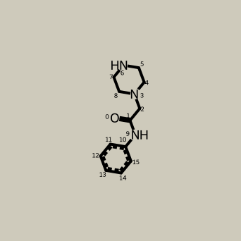 O=C(CN1CCNCC1)Nc1ccccc1